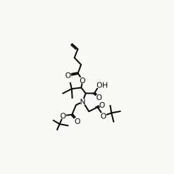 C=CCCC(=O)OC(C(C(=O)O)N(CC(=O)OC(C)(C)C)CC(=O)OC(C)(C)C)C(C)(C)C